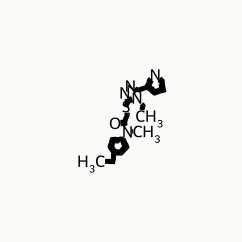 CCc1ccc(N(C)C(=O)CSc2nnc(-c3cccnc3)n2CC)cc1